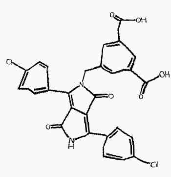 O=C1NC(c2ccc(Cl)cc2)=C2C(=O)N(Cc3cc(C(=O)O)cc(C(=O)O)c3)C(c3ccc(Cl)cc3)=C12